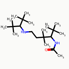 CC(=O)NC(C(C)(C)C)C(C)(C)CCNC(C(C)(C)C)C(C)(C)C